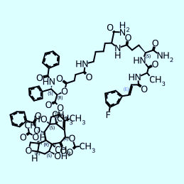 CC(=O)O[C@H]1C(=O)[C@@]2(C)[C@H]([C@H](OC(=O)c3ccccc3)[C@]3(O)C[C@H](OC(=O)[C@H](OC(=O)CCC(=O)NCCCCC(NC(=O)CC[C@H](NC(=O)C(C)NC(=O)/C=C/c4cccc(F)c4)C(N)=O)C(N)=O)[C@@H](NC(=O)c4ccccc4)c4ccccc4)C(C)=C1C3(C)C)[C@]1(OC(C)=O)CO[C@@H]1C[C@@H]2O